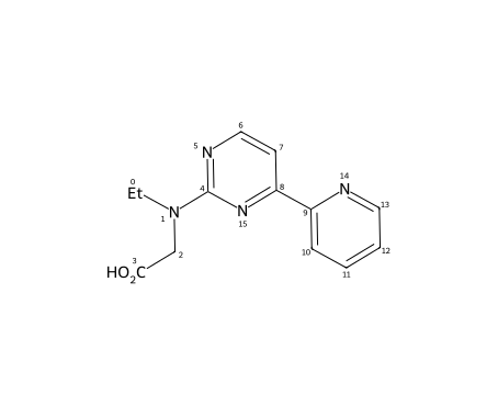 CCN(CC(=O)O)c1nccc(-c2ccccn2)n1